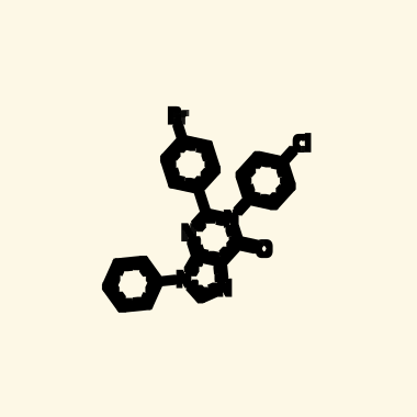 O=c1c2ncn(-c3ccccc3)c2nc(-c2ccc(Br)cc2)n1-c1ccc(Cl)cc1